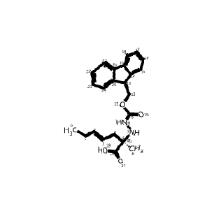 CCC=CC[C@@](C)(NNC(=O)OCC1c2ccccc2-c2ccccc21)C(=O)O